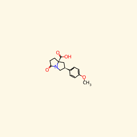 COc1ccc([C@H]2CN3C(=O)CC[C@]3(C(=O)O)C2)cc1